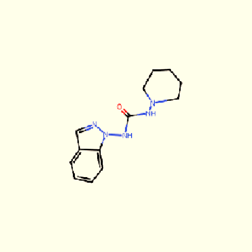 O=C(NN1CCCCC1)Nn1ncc2ccccc21